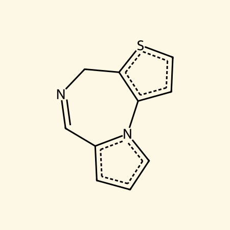 C1=NCc2sccc2-n2cccc21